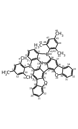 Cc1cc(C)c(B2c3cccc4c3-n3c5c2cc2c6ccccc6oc2c5c2c5oc6ccccc6c5cc(c23)B4c2c(C)cc(C)cc2C)c(C)c1